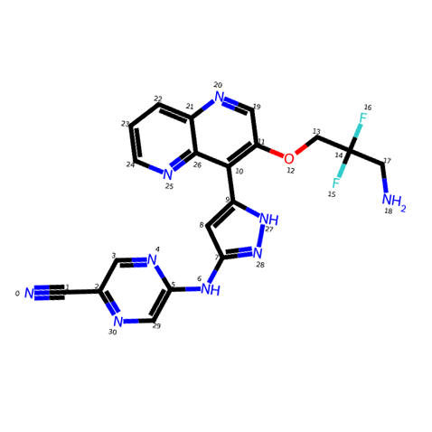 N#Cc1cnc(Nc2cc(-c3c(OCC(F)(F)CN)cnc4cccnc34)[nH]n2)cn1